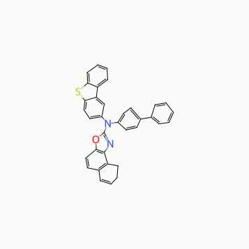 C1=Cc2ccc3oc(N(c4ccc(-c5ccccc5)cc4)c4ccc5sc6ccccc6c5c4)nc3c2CC1